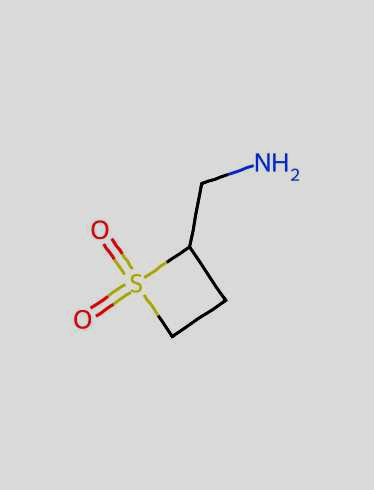 NCC1CCS1(=O)=O